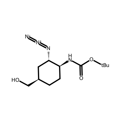 CC(C)(C)OC(=O)N[C@H]1CC[C@@H](CO)C[C@@H]1N=[N+]=[N-]